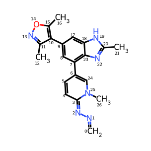 C=N/N=c1/ccc(-c2cc(-c3c(C)noc3C)cc3[nH]c(C)nc23)cn1C